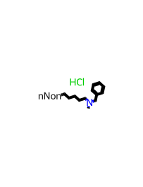 CCCCCCCCCCCCCCN(C)Cc1ccccc1.Cl